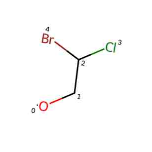 [O]CC(Cl)Br